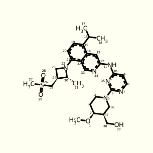 CO[C@H]1CCN(c2nccc(Nc3cc4c(C(C)C)ccc(N5C[C@H](CS(C)(=O)=O)[C@H]5C)c4cn3)n2)C[C@H]1CO